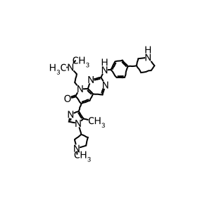 Cc1c(-c2cc3cnc(Nc4ccc(C5CCCNC5)cc4)nc3n(CCN(C)C)c2=O)ncn1C1CCN(C)C1